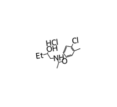 CCC(O)CNC(C)Oc1ccc(Cl)c(C)c1.Cl